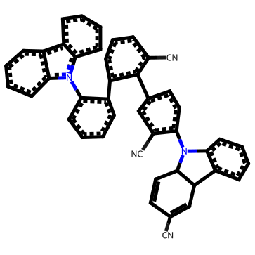 N#CC1=CC2c3ccccc3N(c3ccc(-c4c(C#N)cccc4-c4ccccc4-n4c5ccccc5c5ccccc54)cc3C#N)C2C=C1